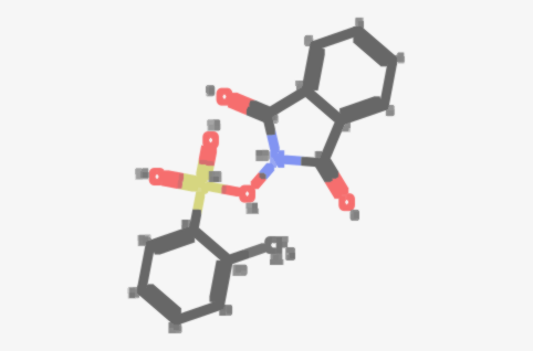 O=C1c2ccccc2C(=O)N1OS(=O)(=O)c1ccccc1C(F)(F)F